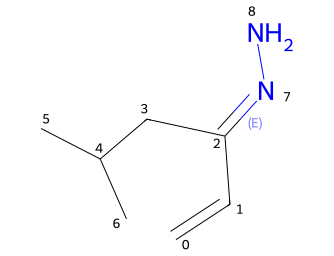 C=C/C(CC(C)C)=N/N